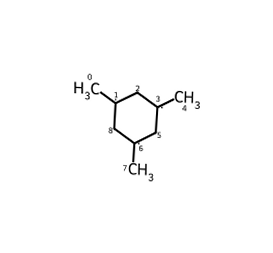 C[C]1C[C](C)C[C](C)C1